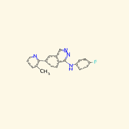 Cc1cccnc1-c1ccc2c(Nc3ccc(F)cc3)nncc2c1